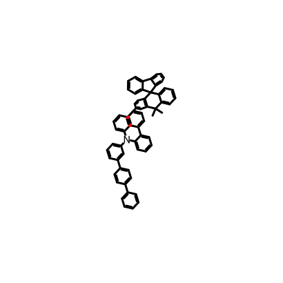 CC1(C)c2ccccc2C2(c3ccccc3-c3ccccc32)c2ccc(-c3cccc(N(c4cccc(-c5ccc(-c6ccccc6)cc5)c4)c4ccccc4-c4ccccc4)c3)cc21